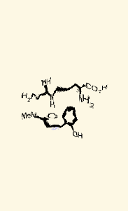 CNC(=O)/C=C\c1ccccc1O.N=C(N)NCCC[C@H](N)C(=O)O